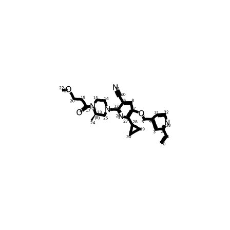 C=Cc1cc(COc2cc(C#N)c(N3CCN(C(=O)CCOC)[C@H](C)C3)nc2C2CC2)ccn1